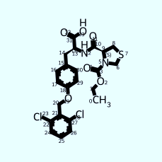 CCOC(=O)N1CSC[C@@H]1C(=O)N[C@@H](Cc1ccc(OCc2c(Cl)cccc2Cl)cc1)C(=O)O